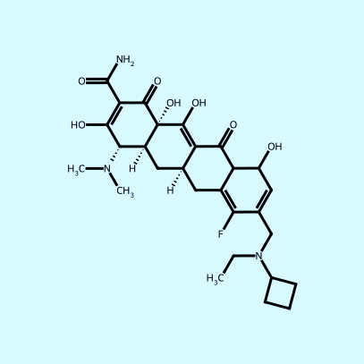 CCN(CC1=CC(O)C2C(=O)C3=C(O)[C@]4(O)C(=O)C(C(N)=O)=C(O)[C@@H](N(C)C)[C@@H]4C[C@@H]3CC2=C1F)C1CCC1